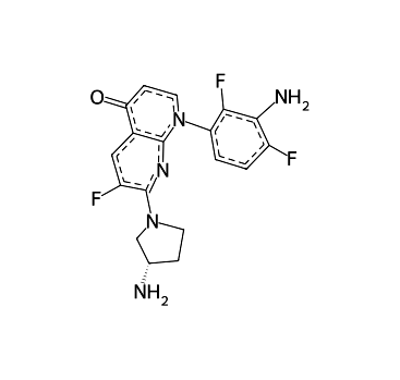 Nc1c(F)ccc(-n2ccc(=O)c3cc(F)c(N4CC[C@H](N)C4)nc32)c1F